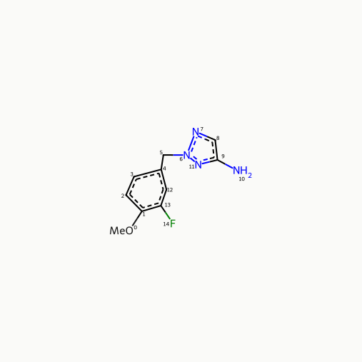 COc1ccc(Cn2ncc(N)n2)cc1F